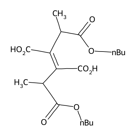 CCCCOC(=O)C(C)C(C(=O)O)=C(C(=O)O)C(C)C(=O)OCCCC